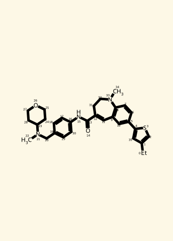 CCc1csc(-c2ccc3c(c2)C=C(C(=O)Nc2ccc(CN(C)C4CCOCC4)cc2)CCN3C)c1